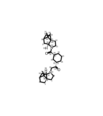 CC1(C)C2CC[C@@]13CCN(CC(=O)[C@H]1CCC[C@H](C(=O)N4CC[C@@]56CCC(C[C@H]45)C6(C)C)C1)[C@H]3C2